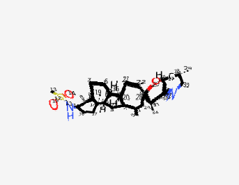 CC1=C2C[C@H]3[C@@H](CCC4CC(NS(C)(=O)=O)CC[C@@]43C)[C@@H]2CC[C@@]2(C1)O[C@@H]1C[C@H](C)CN=C1[C@H]2C